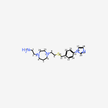 NCCN1CCCN(CCSCc2ccc(-n3ccnc3)cc2)CC1